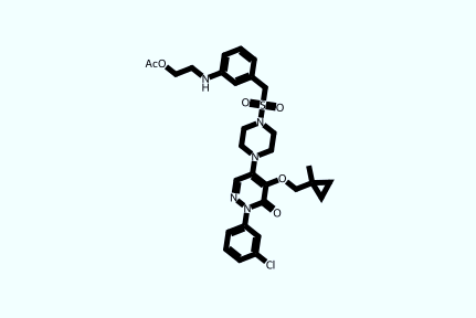 CC(=O)OCCNc1cccc(CS(=O)(=O)N2CCN(c3cnn(-c4cccc(Cl)c4)c(=O)c3OCC3(C)CC3)CC2)c1